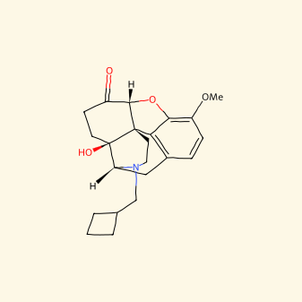 COc1ccc2c3c1O[C@H]1C(=O)CC[C@@]4(O)[C@@H](C2)N(CC2CCC2)CC[C@]314